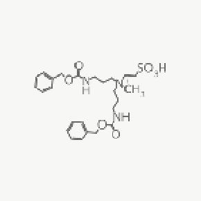 C[N+](CCCNC(=O)OCc1ccccc1)(CCCNC(=O)OCc1ccccc1)CCS(=O)(=O)O